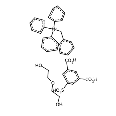 O=C(O)c1cc(C(=O)O)cc(S(=O)(=O)O)c1.OCCOCCO.c1ccc(C[N+](c2ccccc2)(c2ccccc2)c2ccccc2)cc1